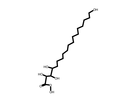 O=C(OO)C(O)C(O)C(O)CCCCCCCCCCCCCCO